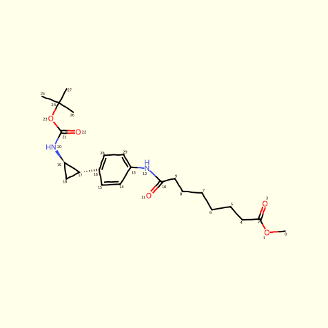 COC(=O)CCCCCCC(=O)Nc1ccc([C@@H]2C[C@H]2NC(=O)OC(C)(C)C)cc1